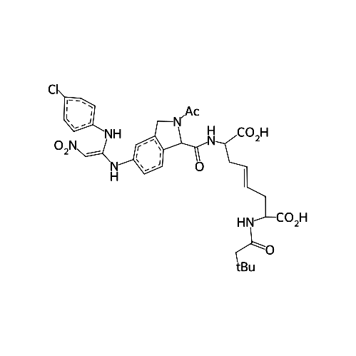 CC(=O)N1Cc2cc(NC(=C[N+](=O)[O-])Nc3ccc(Cl)cc3)ccc2C1C(=O)NC(CC=CCC(NC(=O)CC(C)(C)C)C(=O)O)C(=O)O